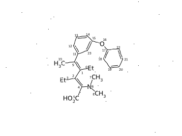 CCC(C(CC)=C(C(=O)O)N(C)C)=C(C)c1cccc(Oc2ccccc2)c1